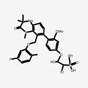 CCC(C(O)Oc1ccc(-c2ccc3c(c2COc2cc(F)ccc2C)N(C)C(=O)C(C)(C)N3)c(OC)c1)P(=O)(O)O